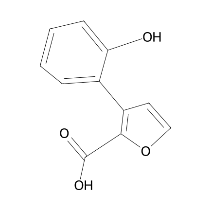 O=C(O)c1occc1-c1ccccc1O